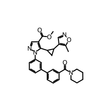 COC(=O)c1cnn(-c2cccc(-c3cccc(C(=O)N4CCCCC4)c3)c2)c1C1CC1c1cnoc1C